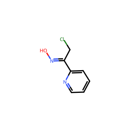 ON=C(CCl)c1ccccn1